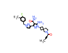 CC#CC(=O)N1CC[C@]2(C1)C[C@H](n1nc(-c3ccn(Cc4ccc(F)c(C(F)(F)F)c4)n3)c(C(N)=O)c1N)C2